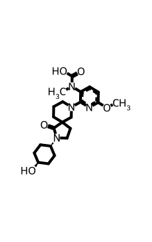 COc1ccc(N(C)C(=O)O)c(N2CCCC3(CCN([C@H]4CC[C@H](O)CC4)C3=O)C2)n1